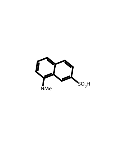 CNc1cccc2ccc(S(=O)(=O)O)cc12